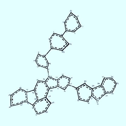 c1ccc(-c2ccc(-c3cccc(-n4c5ccc(-c6ccc7oc8ccccc8c7c6)cc5c5c6cccc7c6c(cc54)-c4ccccc4-7)c3)cc2)cc1